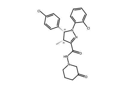 C[C@H]1C(C(=O)NN2CCCC(=O)C2)=NN(c2ccccc2Cl)[C@H]1c1ccc(Cl)cc1